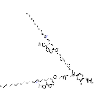 CCCCCCCCC/C=C/CC(CC(=O)OCCOCCOCCN(CCOCCOC(=O)CC(C/C=C/CCCCCCCCCCCCC)C(=O)O)c1ccc(N)c(C)c1)C(=O)O